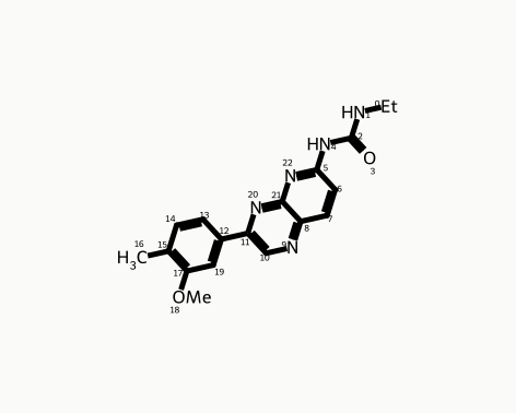 CCNC(=O)Nc1ccc2ncc(-c3ccc(C)c(OC)c3)nc2n1